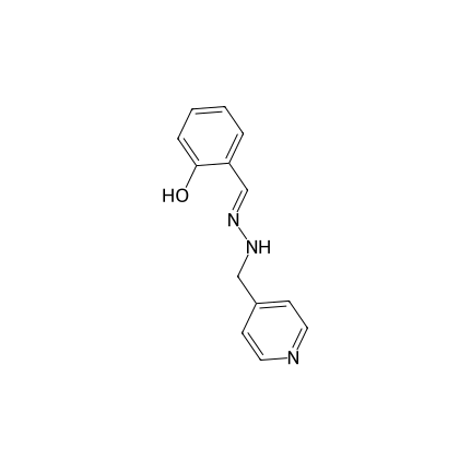 Oc1ccccc1C=NNCc1ccncc1